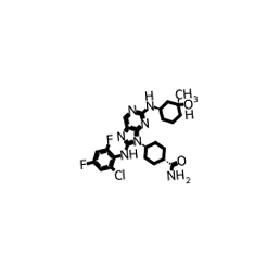 C[C@]1(O)CCC[C@@H](Nc2ncc3nc(Nc4c(F)cc(F)cc4Cl)n([C@H]4CC[C@@H](C(N)=O)CC4)c3n2)C1